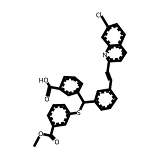 COC(=O)c1cccc(SC(c2cccc(/C=C/c3ccc4ccc(Cl)cc4n3)c2)c2cccc(C(=O)O)c2)c1